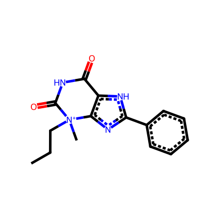 CCC[N+]1(C)C(=O)NC(=O)c2[nH]c(-c3ccccc3)nc21